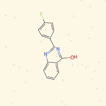 Oc1nc(-c2ccc(F)cc2)nc2ccccc12